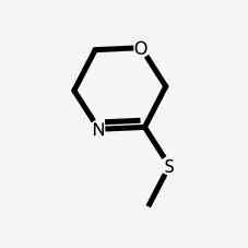 CSC1=NCCOC1